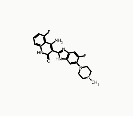 CN1CCN(c2cc3[nH]c(-c4c(N)c5c(F)cccc5[nH]c4=O)nc3cc2F)CC1